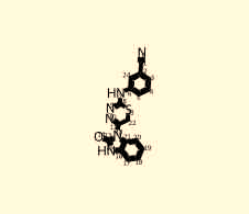 N#Cc1cccc(NC2=NN=C(n3c(=O)[nH]c4ccccc43)CS2)c1